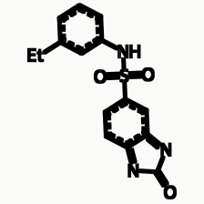 CCc1cccc(NS(=O)(=O)c2ccc3c(c2)=NC(=O)N=3)c1